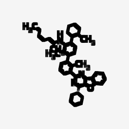 C=C/C=C\C=C(/C)Nc1c(C2=C(C)C=CCC2)ccc(-c2cccc(-c3nc([C@H]4C=CC=CC4)c4oc5ccccc5c4n3)c2C)c1C